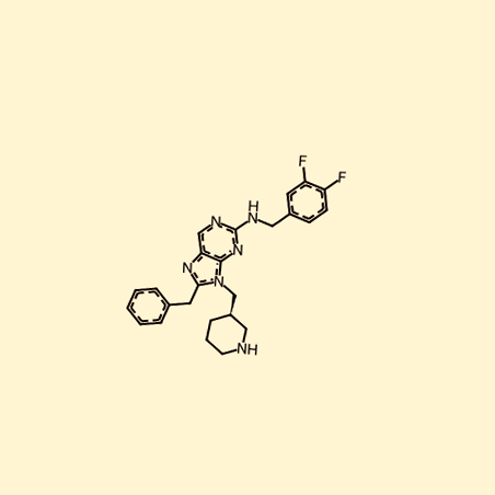 Fc1ccc(CNc2ncc3nc(Cc4ccccc4)n(C[C@@H]4CCCNC4)c3n2)cc1F